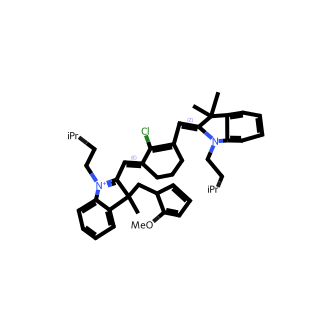 COC1=CC=CC1CC1(C)C(/C=C2\CCCC(/C=C3\N(CCC(C)C)c4ccccc4C3(C)C)=C2Cl)=[N+](CCC(C)C)c2ccccc21